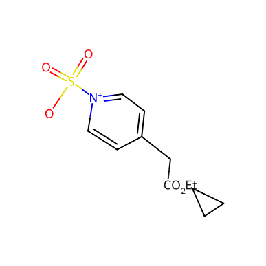 C1CC1.CCOC(=O)Cc1cc[n+](S(=O)(=O)[O-])cc1